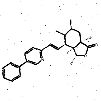 CC1[C@@H](C)C[C@@]2(O)C(=O)O[C@H](C)[C@H]2[C@H]1/C=C/c1ccc(-c2ccccc2)cn1